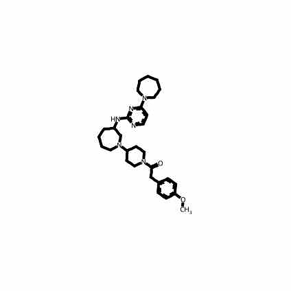 COc1ccc(CC(=O)N2CCC(N3CCCCC(Nc4nccc(N5CCCCCC5)n4)C3)CC2)cc1